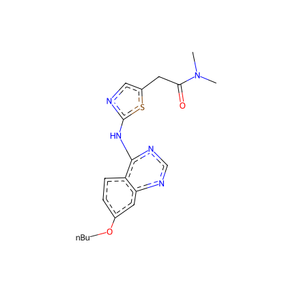 CCCCOc1ccc2c(Nc3ncc(CC(=O)N(C)C)s3)ncnc2c1